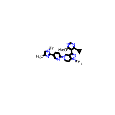 COc1ncnc(C2CC2)c1-c1nn(C)c2c1CN(c1ccc(-c3nc(C)cn3C(C)C)cn1)CC2